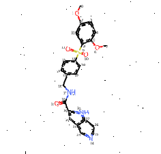 COc1ccc(OC)c(S(=O)(=O)c2ccc(CNC(=O)c3cc4cnccc4[nH]3)cc2)c1